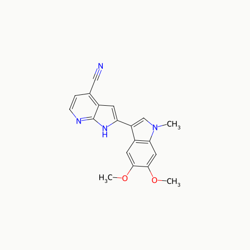 COc1cc2c(-c3cc4c(C#N)ccnc4[nH]3)cn(C)c2cc1OC